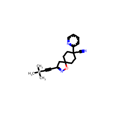 C[Si](C)(C)C#CC1=NOC2(CCC(C#N)(c3ccccn3)CC2)C1